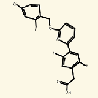 O=C(O)Cc1cc(F)c(-c2cccc(OCc3ccc(Cl)cc3F)n2)cc1F